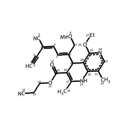 C#C/C(C#N)=C\C=C(/COC)C1C(C(=O)OCCC#N)=C(C)Nc2c(C)cnc(OCC)c21